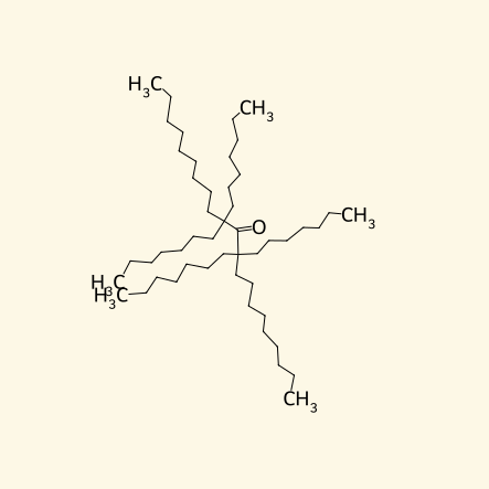 CCCCCCCCCC(CCCCCCC)(CCCCCCC)C(=O)C(CCCCCCC)(CCCCCCC)CCCCCCCCC